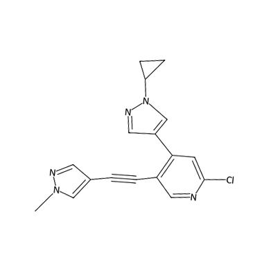 Cn1cc(C#Cc2cnc(Cl)cc2-c2cnn(C3CC3)c2)cn1